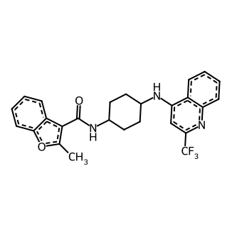 Cc1oc2ccccc2c1C(=O)NC1CCC(Nc2cc(C(F)(F)F)nc3ccccc23)CC1